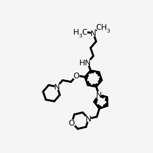 CN(C)CCCNc1ccc(-n2ccc(CN3CCOCC3)c2)cc1OCCN1CCCCC1